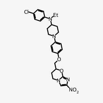 CCN(c1ccc(Cl)cc1)C1CCN(c2ccc(OCC3CCn4cc([N+](=O)[O-])nc4O3)cc2)CC1